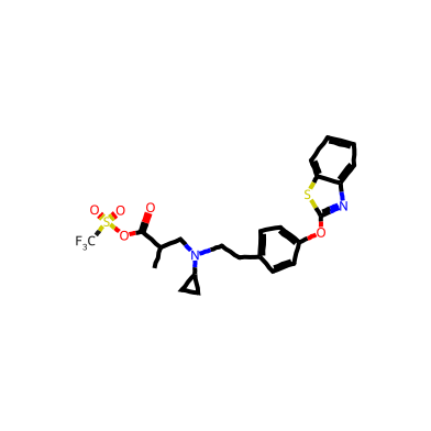 CC(CN(CCc1ccc(Oc2nc3ccccc3s2)cc1)C1CC1)C(=O)OS(=O)(=O)C(F)(F)F